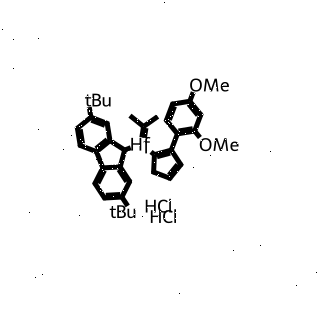 COc1ccc(C2=[C]([Hf](=[C](C)C)[CH]3c4cc(C(C)(C)C)ccc4-c4ccc(C(C)(C)C)cc43)CC=C2)c(OC)c1.Cl.Cl